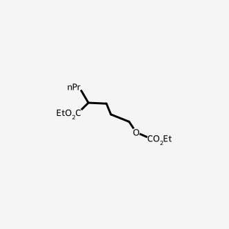 CCCC(CCCOC(=O)OCC)C(=O)OCC